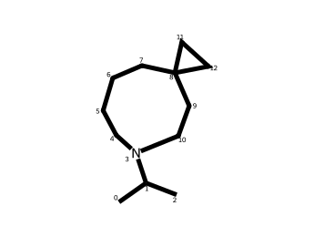 CC(C)N1CCCCC2(CC1)CC2